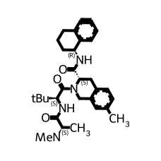 CN[C@@H](C)C(=O)N[C@H](C(=O)N1Cc2cc(C)ccc2C[C@H]1C(=O)N[C@@H]1CCCc2c#cccc21)C(C)(C)C